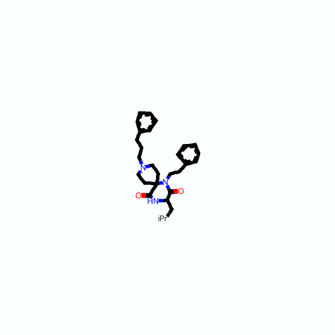 CC(C)CC1NC(=O)C2(CCN(CCCc3ccccc3)CC2)N(CCc2ccccc2)C1=O